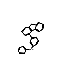 c1ccc(Nc2cccc(-c3cccc4c3-c3ccccc3C4)c2)cc1